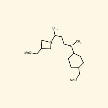 COCC1CCC(N(C)CCC(C)N2CC(COC)C2)CC1